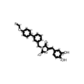 O=C1S/C(=C\c2ccc(O)c(O)c2)C(=O)N1Cc1cccc(-c2ccc(OCF)cc2)c1